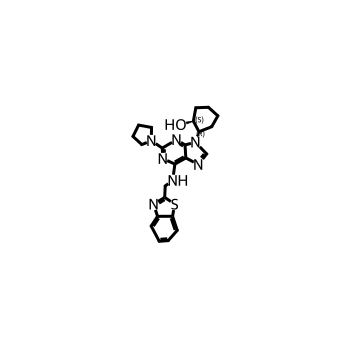 O[C@H]1CCCC[C@H]1n1cnc2c(NCc3nc4ccccc4s3)nc(N3CCCC3)nc21